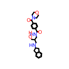 O=C(NCC(CO)CNC1Cc2ccccc2C1)c1ccc(C(=O)N2CCOCC2)cc1